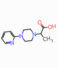 CC(C(=O)O)N1CCN(c2ccccn2)CC1